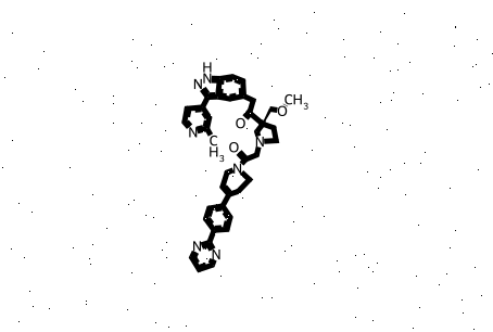 COC[C@@]1(C(=O)Cc2ccc3[nH]nc(-c4ccnc(C)c4)c3c2)CCN(CC(=O)N2CC=C(c3ccc(-c4ncccn4)cc3)CC2)C1